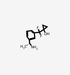 C[C@@H](N)c1cccc(C(F)(F)C2(O)CC2)c1